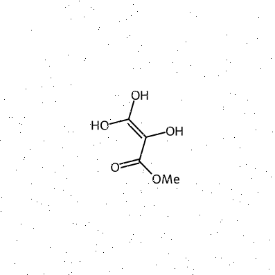 COC(=O)C(O)=C(O)O